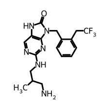 CC(CN)CNc1ncc2[nH]c(=O)n(Cc3ccccc3CC(F)(F)F)c2n1